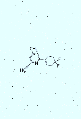 C#Cc1cc(C)nc(C2=CCC(F)(F)CC2)n1